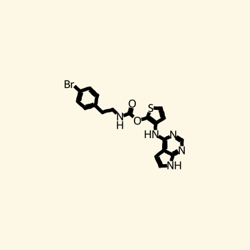 O=C(NCCc1ccc(Br)cc1)Oc1sccc1Nc1ncnc2[nH]ccc12